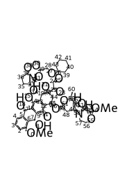 COc1cccc2c1C(=O)c1c(O)c3c(c(O)c1C2=O)C[C@@](O)(C(=O)COC1(OCC(=O)ON2C(=O)CCC2=O)CCCCC1)C[C@@H]3O[C@H]1CC2[C@H](O[C@@H]3[C@@H](OC)OCCN23)[C@H](C)O1